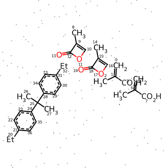 C=C(C)C(=O)O.C=C(C)C(=O)O.CC1=COC1=O.CC1=COC1=O.CCc1ccc(C(C)(C)c2ccc(CC)cc2)cc1